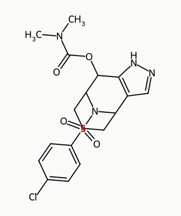 CN(C)C(=O)OC1c2[nH]ncc2C2CCCC1N2S(=O)(=O)c1ccc(Cl)cc1